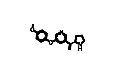 C=C(c1cncc(Oc2ccc(OC)cc2)c1)[C@H]1CCCN1